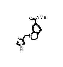 CNC(=O)c1ccc2c(c1)N(Cc1c[nH]cn1)CC2